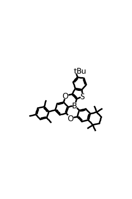 Cc1cc(C)c(-c2cc3c4c(c2)Oc2c(sc5ccc(C(C)(C)C)cc25)B4c2cc4c(cc2O3)C(C)(C)CCC4(C)C)c(C)c1